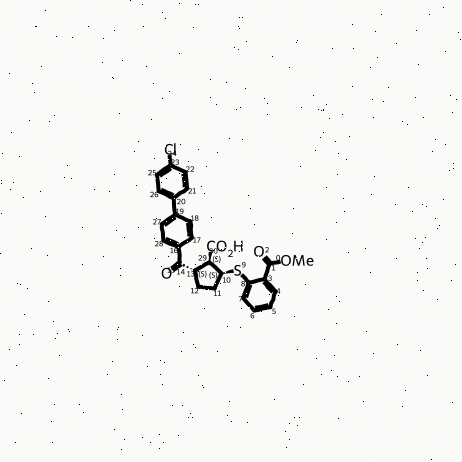 COC(=O)c1ccccc1S[C@H]1CC[C@H](C(=O)c2ccc(-c3ccc(Cl)cc3)cc2)[C@H]1C(=O)O